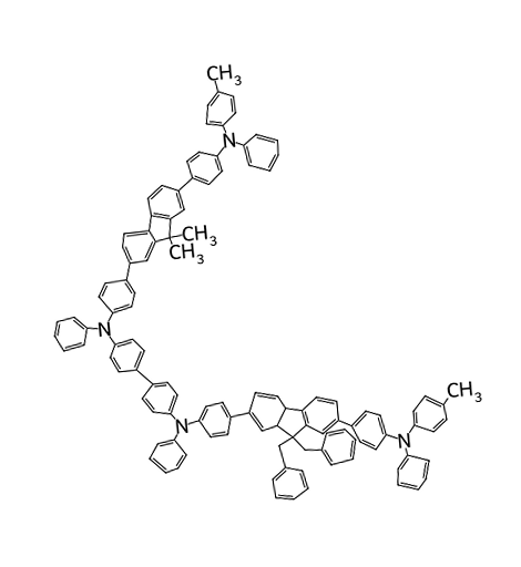 Cc1ccc(N(c2ccccc2)c2ccc(-c3ccc4c(c3)C(C)(C)c3cc(-c5ccc(N(c6ccccc6)c6ccc(-c7ccc(N(c8ccccc8)c8ccc(C9=CC%10C(C=C9)c9ccc(-c%11ccc(N(c%12ccccc%12)c%12ccc(C)cc%12)cc%11)cc9C%10(Cc9ccccc9)Cc9ccccc9)cc8)cc7)cc6)cc5)ccc3-4)cc2)cc1